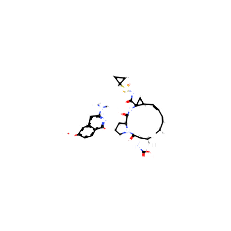 COc1ccc2c(O[C@@H]3C[C@H]4C(=O)NC5(C(=O)NS(=O)(=O)C6(C)CC6)CC5/C=C\CC[C@@H](C)C[C@@H](C)[C@H](NC(=O)O)C(=O)N4C3)nc(N(C)C)cc2c1